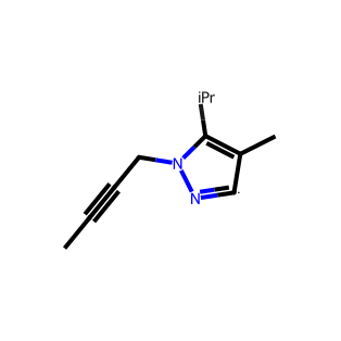 CC#CCn1n[c]c(C)c1C(C)C